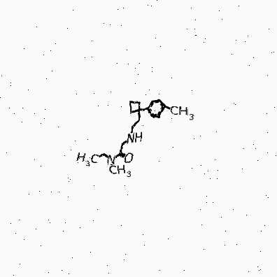 CCN(C)C(=O)CNCCC1(c2ccc(C)cc2)CCC1